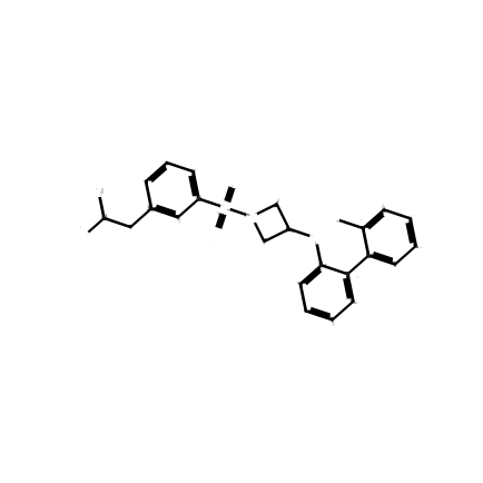 NC(Cc1cccc(S(=O)(=O)N2CC(Oc3ccccc3-c3ccccc3Cl)C2)c1)C(=O)O